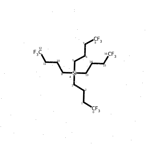 FC(F)(F)CCC[Si](CCCC(F)(F)F)(CCCC(F)(F)F)CCCC(F)(F)F